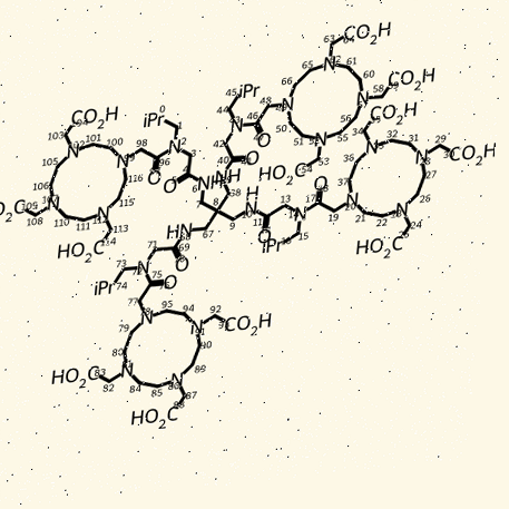 CC(C)CN(CC(=O)NCC(CNC(=O)CN(CC(C)C)C(=O)CN1CCN(CC(=O)O)CCN(CC(=O)O)CCN(CC(=O)O)CC1)(CNC(=O)CN(CC(C)C)C(=O)CN1CCN(CC(=O)O)CCN(CC(=O)O)CCN(CC(=O)O)CC1)CNC(=O)CN(CC(C)C)C(=O)CN1CCN(CC(=O)O)CCN(CC(=O)O)CCN(CC(=O)O)CC1)C(=O)CN1CCN(CC(=O)O)CCN(CC(=O)O)CCN(CC(=O)O)CC1